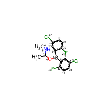 CNC(C)OB(c1cc(Cl)ccc1F)c1cc(Cl)ccc1F